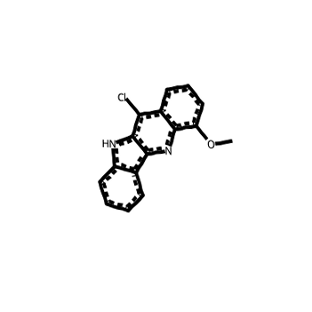 COc1cccc2c(Cl)c3[nH]c4ccccc4c3nc12